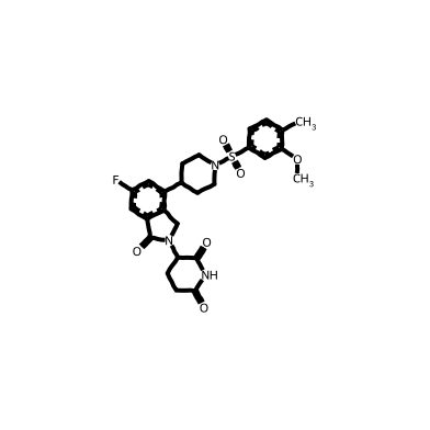 COc1cc(S(=O)(=O)N2CCC(c3cc(F)cc4c3CN(C3CCC(=O)NC3=O)C4=O)CC2)ccc1C